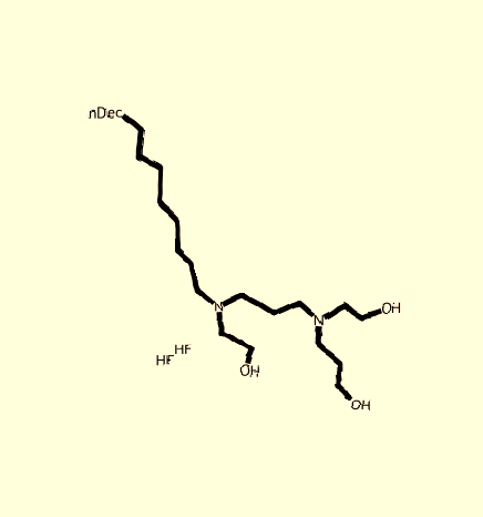 CCCCCCCCCCCCCCCCCCN(CCO)CCCN(CCO)CCCO.F.F